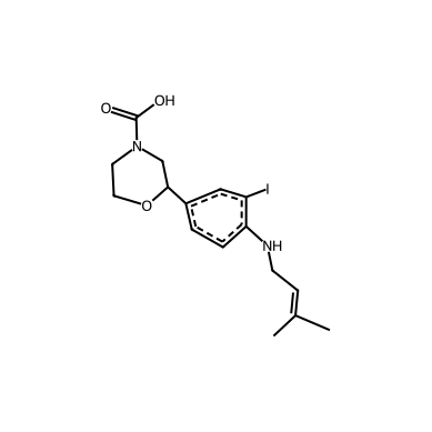 CC(C)=CCNc1ccc(C2CN(C(=O)O)CCO2)cc1I